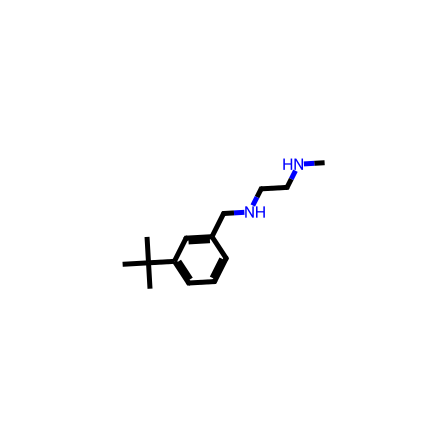 CNCCNCc1cccc(C(C)(C)C)c1